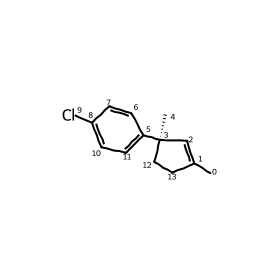 CC1=C[C@](C)(c2ccc(Cl)cc2)CC1